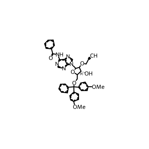 C#CCOC1C(n2cnc3c(NC(=O)c4ccccc4)ncnc32)OC(COC(c2ccccc2)(c2ccc(OC)cc2)c2ccc(OC)cc2)[C@H]1O